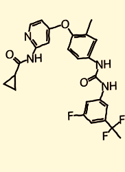 Cc1cc(NC(=O)Nc2cc(F)cc(C(C)(F)F)c2)ccc1Oc1ccnc(NC(=O)C2CC2)c1